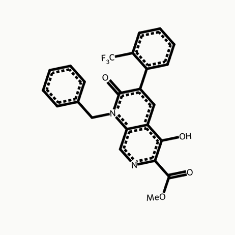 COC(=O)c1ncc2c(cc(-c3ccccc3C(F)(F)F)c(=O)n2Cc2ccccc2)c1O